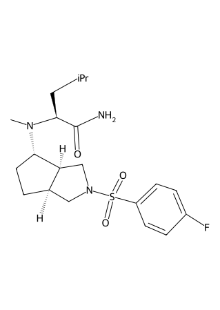 CC(C)C[C@@H](C(N)=O)N(C)[C@H]1CC[C@@H]2CN(S(=O)(=O)c3ccc(F)cc3)C[C@@H]21